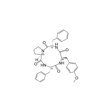 COc1ccc(C[C@H]2NC(=O)[C@H](Cc3ccccc3)NC(=O)[C@H]3CCCN3C(=O)[C@H](Cc3ccccc3)NC2=O)cc1